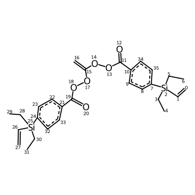 C=C[Si](CC)(CC)c1ccc(C(=O)OOC(=C)OOC(=O)c2ccc([Si](C=C)(CC)CC)cc2)cc1